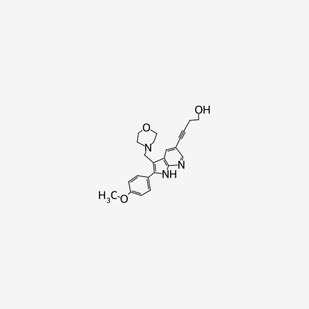 COc1ccc(-c2[nH]c3ncc(C#CCCO)cc3c2CN2CCOCC2)cc1